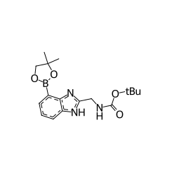 CC(C)(C)OC(=O)NCc1nc2c(B3OCC(C)(C)O3)cccc2[nH]1